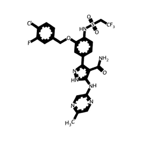 Cc1cnc(Nc2[nH]nc(-c3ccc(NS(=O)(=O)CC(F)(F)F)c(OCc4ccc(Cl)c(F)c4)c3)c2C(N)=O)cn1